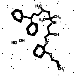 C=CCOc1ccccc1OCC(O)CNC(C)(C)CN(C)CCC(c1ccccc1)c1ccccc1.Cl.Cl